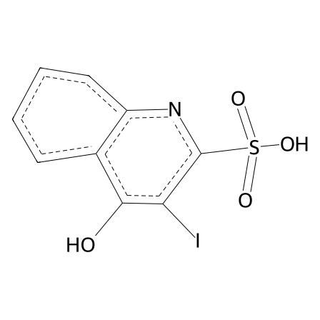 O=S(=O)(O)c1nc2ccccc2c(O)c1I